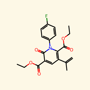 C=C(C)c1cc(C(=O)OCC)c(=O)n(-c2ccc(F)cc2)c1C(=O)OCC